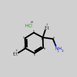 CCC1=CCC(CC)(CN)C=C1.Cl